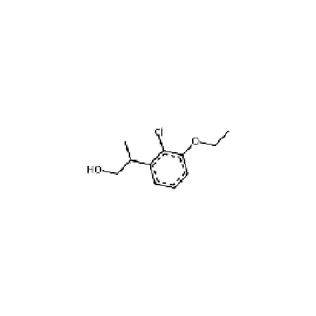 CCOc1cccc([C](C)CO)c1Cl